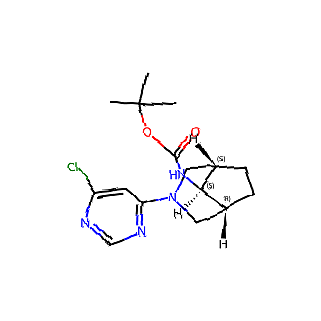 CC(C)(C)OC(=O)N[C@@H]1[C@@H]2CC[C@H]1CN(c1cc(Cl)ncn1)C2